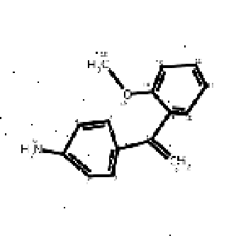 C=C(c1ccc(N)cc1)c1ccccc1OC